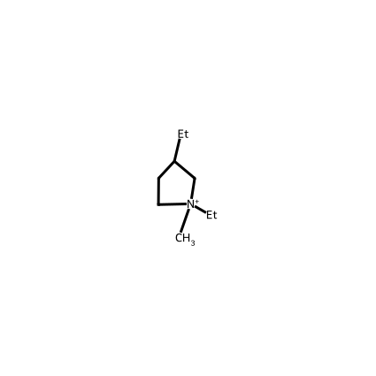 CCC1CC[N+](C)(CC)C1